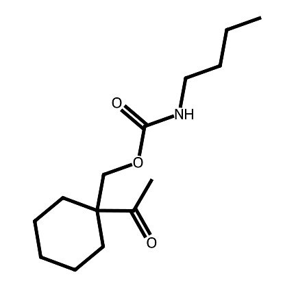 CCCCNC(=O)OCC1(C(C)=O)CCCCC1